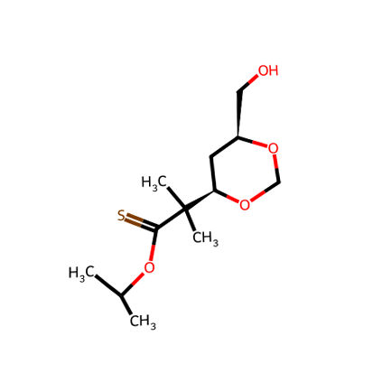 CC(C)OC(=S)C(C)(C)[C@H]1C[C@@H](CO)OCO1